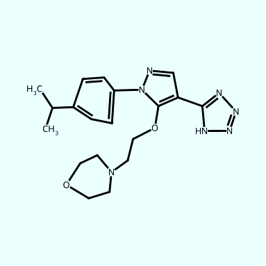 CC(C)c1ccc(-n2ncc(-c3nnn[nH]3)c2OCCN2CCOCC2)cc1